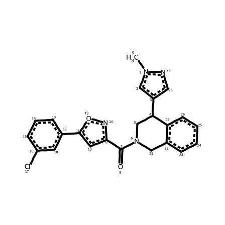 Cn1cc(C2CN(C(=O)c3cc(-c4cccc(Cl)c4)on3)Cc3ccccc32)cn1